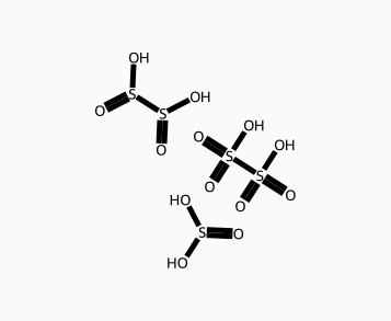 O=S(=O)(O)S(=O)(=O)O.O=S(O)O.O=S(O)S(=O)O